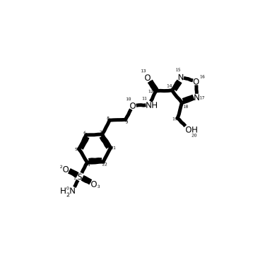 NS(=O)(=O)c1ccc(CCONC(=O)c2nonc2CO)cc1